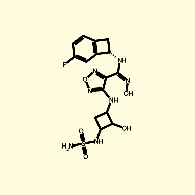 NS(=O)(=O)NC1CC(Nc2nonc2/C(=N\O)N[C@H]2Cc3ccc(F)cc32)C1O